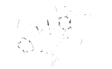 C=CC(=O)Nc1cc(N)c(OC)cc1N(C)CCN(C(=O)OCc1ccccc1)C(C)C